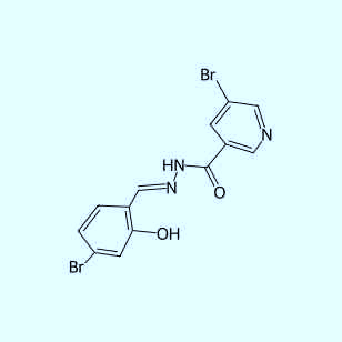 O=C(NN=Cc1ccc(Br)cc1O)c1cncc(Br)c1